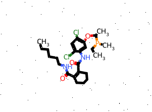 CCCCCCNC(=O)C1=C(C(=O)Nc2cc(OC(C)P(C)CC)c(Cl)cc2Cl)CCCC1